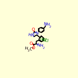 COC(=O)C(N)Cc1ccccc1C1CNC(=O)N1c1ccc(CN)cc1.Cl.Cl